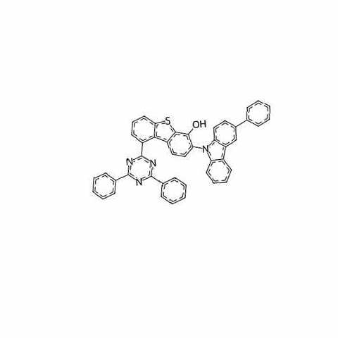 Oc1c(-n2c3ccccc3c3cc(-c4ccccc4)ccc32)ccc2c1sc1cccc(-c3nc(-c4ccccc4)nc(-c4ccccc4)n3)c12